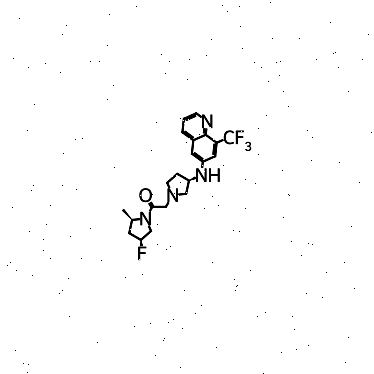 C[C@@H]1C[C@H](F)CN1C(=O)CN1CC[C@@H](Nc2cc(C(F)(F)F)c3ncccc3c2)C1